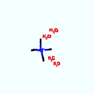 C[N+](C)(C)C.O.O.O.O